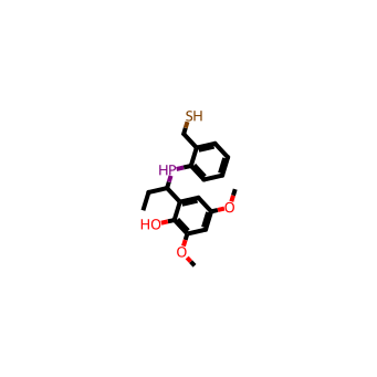 CCC(Pc1ccccc1CS)c1cc(OC)cc(OC)c1O